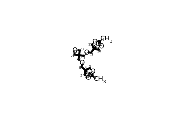 CC12OCC(COCC3(COCC45COC(C)(OC4)OC5)COC3)(CO1)CO2